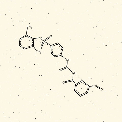 Cc1cccc(C)c1NS(=O)(=O)c1ccc(NC(=S)NC(=O)c2cccc(N=O)c2)cc1